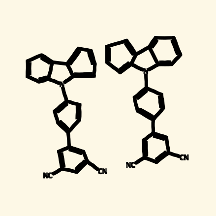 N#Cc1cc(C#N)cc(-c2ccc(-n3c4ccccc4c4ccccc43)cc2)c1.N#Cc1cc(C#N)cc(-c2ccc(-n3c4ccccc4c4ccccc43)cc2)c1